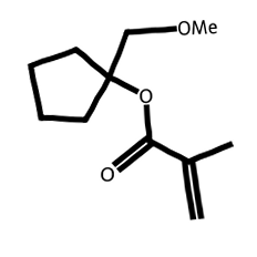 C=C(C)C(=O)OC1(COC)CCCC1